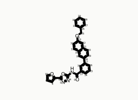 O=C(Nc1nnc(-c2ccco2)o1)c1cccc(-c2ccc3cc(OCc4ccccc4)ccc3c2)c1